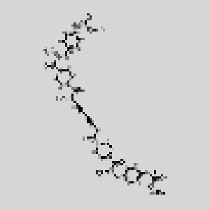 CN(Cc1ccc(NC(=O)OC(C)(C)C)cc1)C(=O)N1CCN(C(=O)CC#CC#CC(O)C(=O)N2CCN(C(=O)N(C)Cc3ccc(NC(=O)OC(C)(C)C)cc3)CC2)CC1